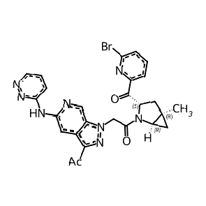 CC(=O)c1nn(CC(=O)N2[C@H](C(=O)c3cccc(Br)n3)C[C@@]3(C)C[C@@H]23)c2cnc(Nc3cccnn3)cc12